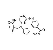 CNC(=O)c1ccc(Nc2ncc3c(n2)N(C2CCCC2)CC(F)(F)C(=O)N3)cc1